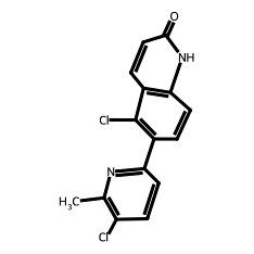 Cc1nc(-c2ccc3[nH]c(=O)ccc3c2Cl)ccc1Cl